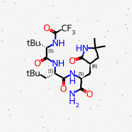 CC(C)(C)C[C@H](NC(=O)[C@@H](NC(=O)C(F)(F)F)C(C)(C)C)C(=O)N[C@@H](C[C@@H]1CC(C)(C)NC1=O)C(N)=O